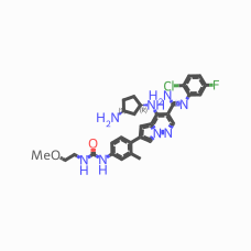 COCCNC(=O)Nc1ccc(-c2cc3c(N[C@@H]4CC[C@H](N)C4)c(/C(N)=N/c4cc(F)ccc4Cl)cnn3c2)c(C)c1